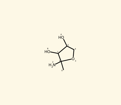 CC1(N)OCC(O)C1O